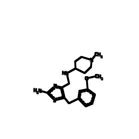 COc1cccc(Cc2sc(N)nc2CNC2CCN(C)CC2)c1